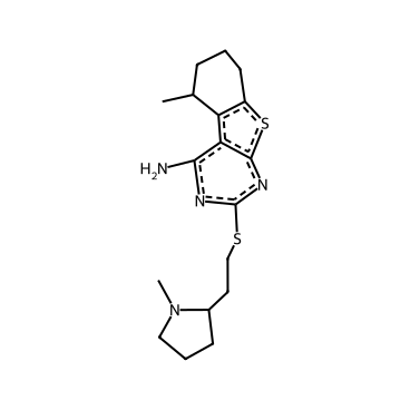 CC1CCCc2sc3nc(SCCC4CCCN4C)nc(N)c3c21